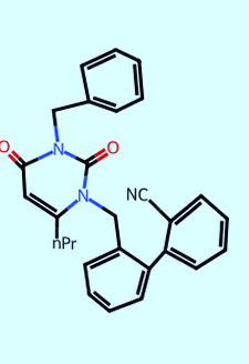 CCCc1cc(=O)n(Cc2ccccc2)c(=O)n1Cc1ccccc1-c1ccccc1C#N